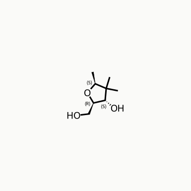 C[C@@H]1O[C@H](CO)[C@@H](O)C1(C)C